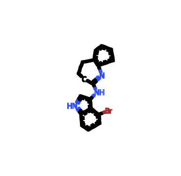 Brc1cccc2[nH]cc(NC3=Nc4ccccc4CCC3)c12